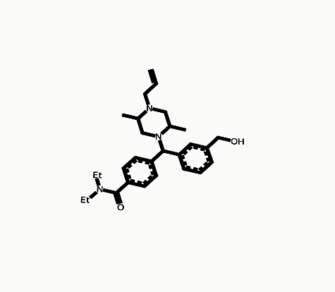 C=CCN1CC(C)N(C(c2ccc(C(=O)N(CC)CC)cc2)c2cccc(CO)c2)CC1C